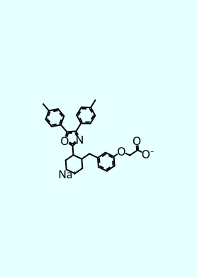 Cc1ccc(-c2nc(C3CCCCC3Cc3cccc(OCC(=O)[O-])c3)oc2-c2ccc(C)cc2)cc1.[Na+]